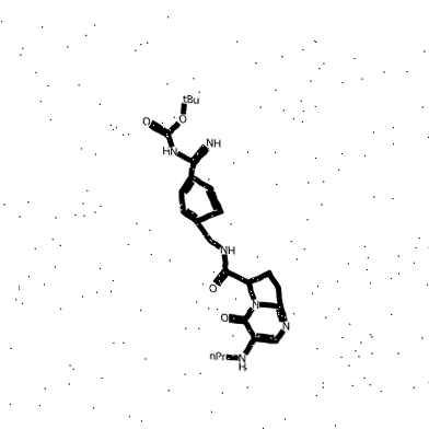 CCCNc1cnc2n(c1=O)C(C(=O)NCc1ccc(C(=N)NC(=O)OC(C)(C)C)cc1)CC2